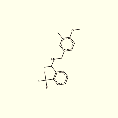 COc1ccc(CNC(C)c2ccccc2C(F)(F)F)cc1C